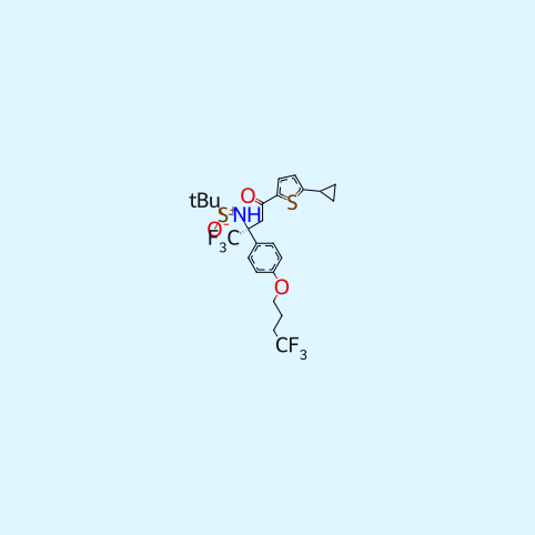 CC(C)(C)[S+]([O-])N[C@@](CC(=O)c1ccc(C2CC2)s1)(c1ccc(OCCCC(F)(F)F)cc1)C(F)(F)F